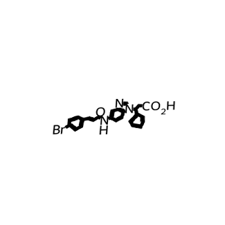 O=C(O)CC(c1ccccc1)n1cnc2cc(NC(=O)C=Cc3ccc(Br)cc3)ccc21